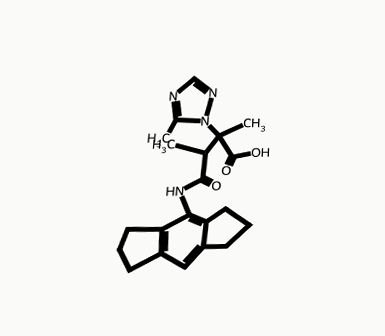 Cc1ncnn1C(C)(C(=O)O)C(C)C(=O)Nc1c2c(cc3c1CCC3)CCC2